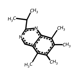 Cc1c(C)c(C)c2nc(C(C)C)ncc2c1C